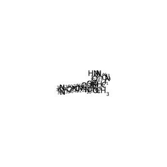 CCc1cc(-c2n[nH]c3ccc(NC(=O)C4(COC)CCN(CC(=O)N5CCN(c6ccc(-c7ncccn7)cc6)CC5)C4)cc23)ccn1